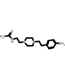 Cc1ccc(CCN2CCN(CCNC(N)=O)CC2)cc1